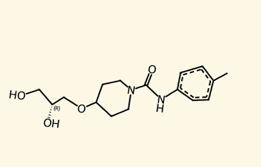 Cc1ccc(NC(=O)N2CCC(OC[C@H](O)CO)CC2)cc1